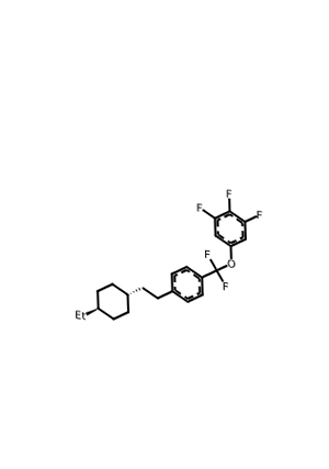 CC[C@H]1CC[C@H](CCc2ccc(C(F)(F)Oc3cc(F)c(F)c(F)c3)cc2)CC1